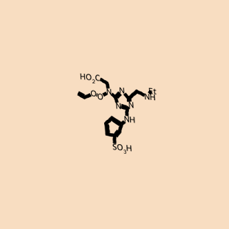 C=COON(CC(=O)O)c1nc(CNCC)nc(Nc2cccc(S(=O)(=O)O)c2)n1